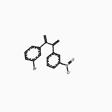 C=C(C(=C)c1cccc([N+](=O)[O-])c1)c1cccc(Br)c1